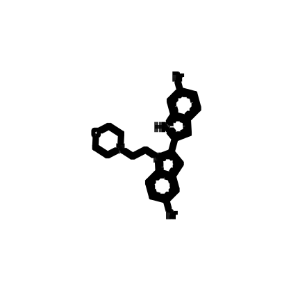 Brc1ccc2c(c1)cc(-c1cc3ccc(Br)cc3[nH]1)n2CCN1CCOCC1